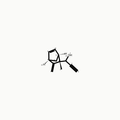 C#CC(O)[C@]1(C)C(=C)[C@H]2C=C[C@@H]1C2